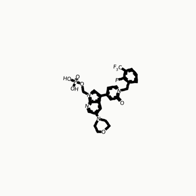 O=c1cc(-c2cn(COP(=O)(O)O)c3ncc(N4CCOCC4)cc23)ccn1Cc1cccc(C(F)(F)F)c1F